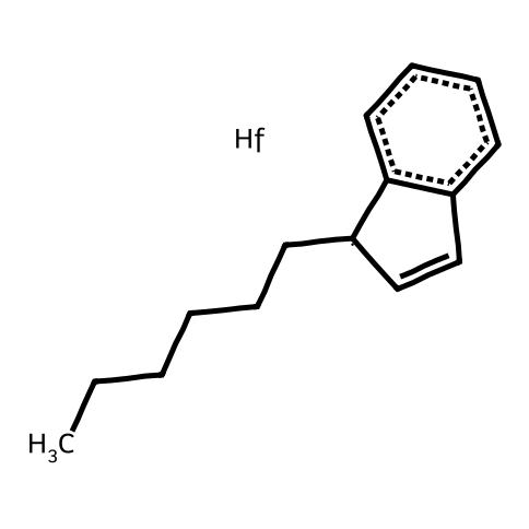 CCCCCC[C]1C=Cc2ccccc21.[Hf]